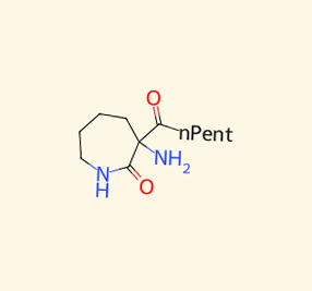 CCCCCC(=O)C1(N)CCCCNC1=O